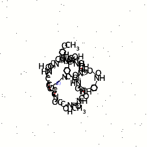 COc1ccc(C[C@@H]2NC(=O)[C@H]([C@@H](C)O)NC(=O)C[C@@H]3[C@@H]4CCN3C(=O)[C@@H]3Cc5cn(c6ccc(F)cc56)C/C=C/CCCN(Cc5ccc(cc5)CCNC(=O)[C@]5(C)CCCN5C2=O)C(=O)CCC(=O)N[C@@H](C)C(=O)NCC(=O)N[C@@H](Cc2cccc(c2)CNC(=O)CO4)C(=O)N3)cc1